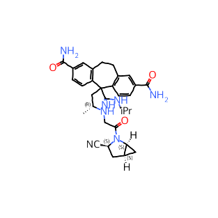 CC(C)NC(=N)C1(C[C@@H](C)NCC(=O)N2[C@H](C#N)C[C@@H]3C[C@@H]32)c2ccc(C(N)=O)cc2CCc2cc(C(N)=O)ccc21